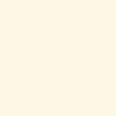 COCc1ccc(C2=CCC=C2c2ccc(S(C)(=O)=O)cc2)cc1